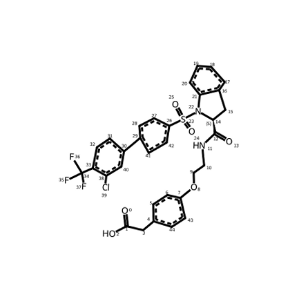 O=C(O)Cc1ccc(OCCNC(=O)[C@@H]2Cc3ccccc3N2S(=O)(=O)c2ccc(-c3ccc(C(F)(F)F)c(Cl)c3)cc2)cc1